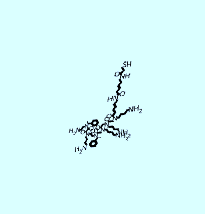 C[C@@H](c1ccccc1)N(CC(N)=O)C(=O)CN(CCCCN)C(=O)CN(C(=O)CN(CCCCN)C(=O)CN(CCCCN)C(=O)CN(CCCCN)C(=O)CCCCCNC(=O)CCCCCNC(=O)CCS)[C@@H](C)c1ccccc1